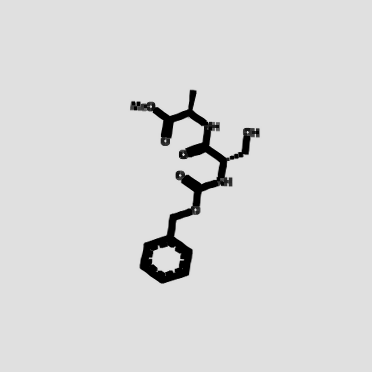 COC(=O)[C@@H](C)NC(=O)[C@H](CO)NC(=O)OCc1ccccc1